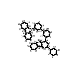 c1ccc(-c2cc(-c3cccc(-c4cccc(-n5c6ccccc6c6ccccc65)c4)c3)c3sc4ccccc4c3n2)cc1